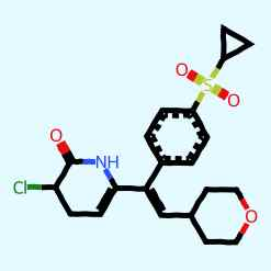 O=C1NC(/C(=C/C2CCOCC2)c2ccc(S(=O)(=O)C3CC3)cc2)=CCC1Cl